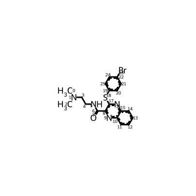 CN(C)CCNC(=O)c1nc2ccccc2nc1Sc1ccc(Br)cc1